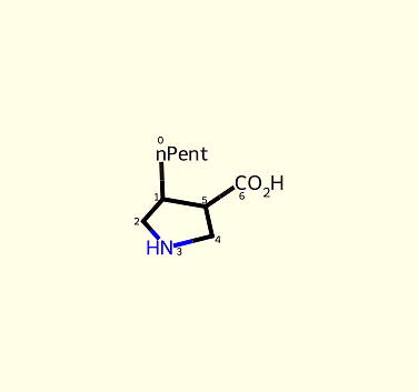 CCCCCC1CNCC1C(=O)O